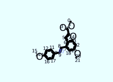 COC(=O)c1cc2c(/C=C/c3ccc(OC)cc3)cc(OC)cc2o1